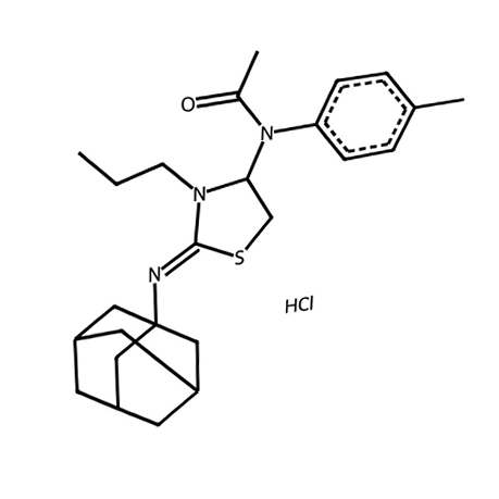 CCCN1C(=NC23CC4CC(CC(C4)C2)C3)SCC1N(C(C)=O)c1ccc(C)cc1.Cl